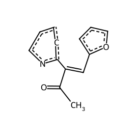 CC(=O)/C(=C/c1ccco1)c1ccccn1